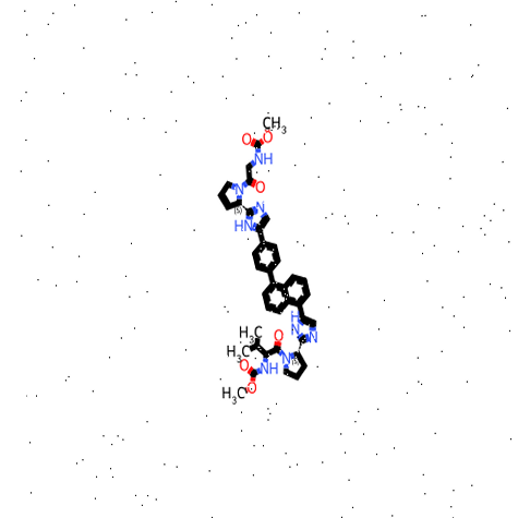 COC(=O)NCC(=O)N1CC=C[C@H]1c1ncc(-c2ccc(-c3cccc4c(-c5cnc([C@@H]6CCCN6C(=O)C(NC(=O)OC)C(C)C)[nH]5)cccc34)cc2)[nH]1